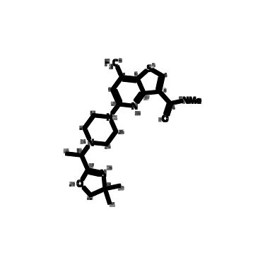 CNC(=O)c1csc2c(C(F)(F)F)cc(N3CCN(C(C)C4=NC(C)(C)CO4)CC3)nc12